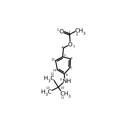 CC(=O)OCc1ccc(NC(C)(C)C)cc1